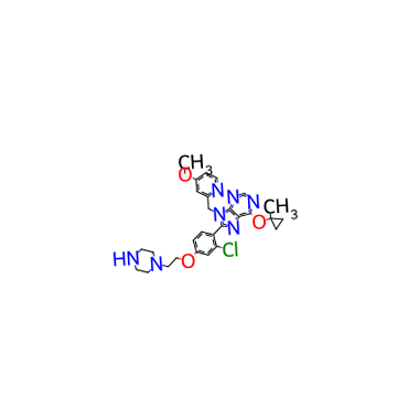 COc1ccnc(Cn2c(-c3ccc(OCCN4CCNCC4)cc3Cl)nc3c(OC4(C)CC4)ncnc32)c1